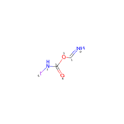 N=COC(=O)NI